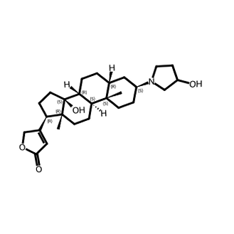 C[C@]12CC[C@H](N3CCC(O)C3)C[C@H]1CC[C@@H]1[C@@H]2CC[C@]2(C)[C@@H](C3=CC(=O)OC3)CC[C@]12O